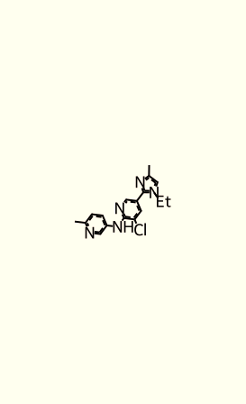 CCn1cc(C)nc1-c1cnc(Nc2ccc(C)nc2)c(Cl)c1